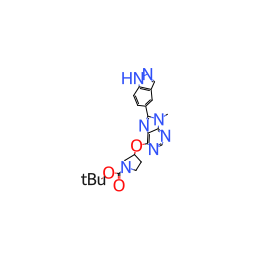 Cn1c(-c2ccc3[nH]ncc3c2)nc2c(O[C@H]3CCN(C(=O)OC(C)(C)C)C3)ncnc21